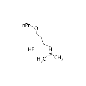 CCCOCCCC[SiH](C)C.F